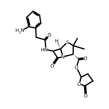 CC1(C)S[C@@H]2C(NC(=O)Cc3ccccc3N)C(=O)N2[C@H]1C(=O)OC1CCC(=O)O1